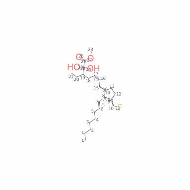 CCCCCC/C=C/[C@H]1[C@H](CF)CC[C@@H]1C/C=C\CC(CC)C(O)(O)C(=O)OC